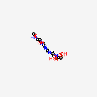 Cc1cc(N=Nc2cc(C)c(N=Nc3ccc4cc(NOc5ccccc5)ccc4c3O)cc2C)c(C)cc1N=Nc1cc(C)c(N=Nc2cc3c(S(=O)(=O)O)cccc3cc2S(=O)(=O)O)cc1C